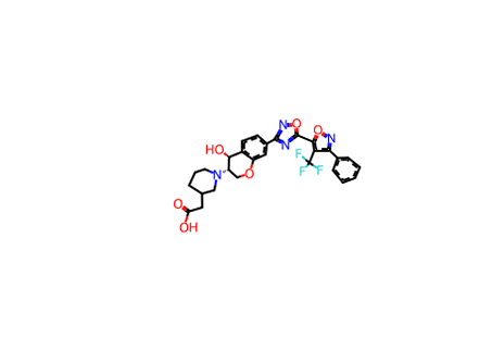 O=C(O)CC1CCCN([C@H]2COc3cc(-c4noc(-c5onc(-c6ccccc6)c5C(F)(F)F)n4)ccc3[C@@H]2O)C1